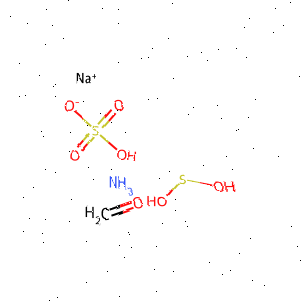 C=O.N.O=S(=O)([O-])O.OSO.[Na+]